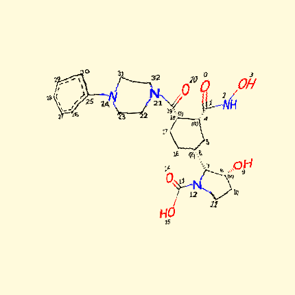 O=C(NO)[C@@H]1C[C@H](C2[C@H](O)CCN2C(=O)O)CC[C@@H]1C(=O)N1CCN(c2ccccc2)CC1